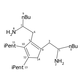 CCCCC(N)CC1=C(CC(N)CCCC)C(C(C)CCC)=C(C(C)CCC)C1